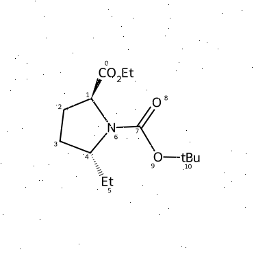 CCOC(=O)[C@@H]1CC[C@@H](CC)N1C(=O)OC(C)(C)C